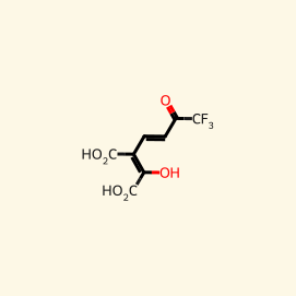 O=C(O)/C(O)=C(/C=C/C(=O)C(F)(F)F)C(=O)O